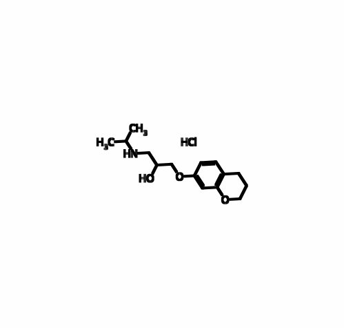 CC(C)NCC(O)COc1ccc2c(c1)OCCC2.Cl